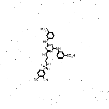 N#Cc1ccc(S(=O)(=O)NCCNc2nc(Nc3cccc(S(=O)(=O)O)c3)nc(Nc3cccc(S(=O)(=O)O)c3)n2)cc1C#N